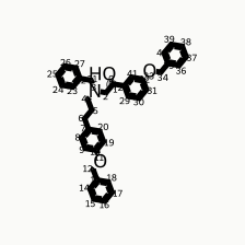 O[C@@H](CN(CCCc1ccc(OCc2ccccc2)cc1)Cc1ccccc1)c1cccc(OCc2ccccc2)c1